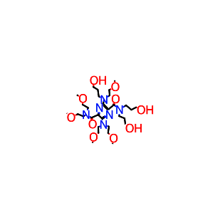 COCCN(CCOC)C(=O)c1nc(N(CCCO)CCOC)c(C(=O)N(CCCO)CCCO)nc1N(CCOC)CCOC